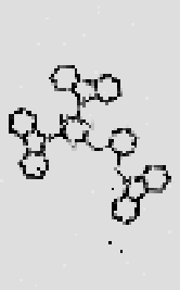 c1ccc(Cn2c3ccccc3c3ccccc32)c(Cc2nc(-n3c4ccccc4c4ccccc43)nc(-n3c4ccccc4c4ccccc43)n2)c1